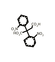 O=C(O)CC(C(=O)O)(c1ccccc1[N+](=O)[O-])c1ccccc1[N+](=O)[O-]